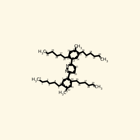 CCCCCCc1cc(-c2ccc(-c3cc(CCCCCC)c(C)cc3CCCCCC)nn2)c(CCCCCC)cc1C